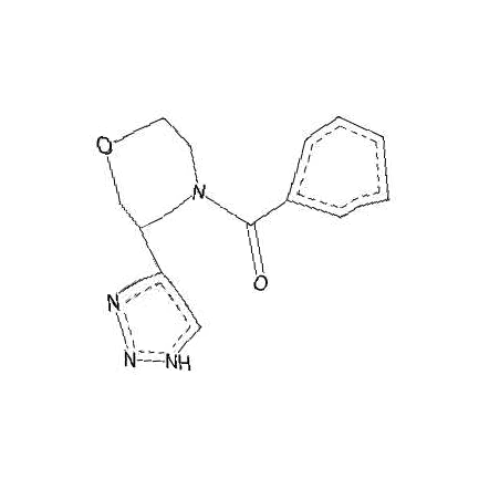 O=C(c1ccccc1)N1CCOCC1c1c[nH]nn1